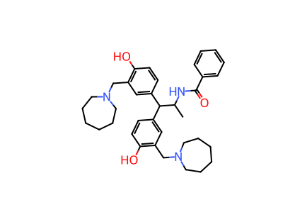 CC(NC(=O)c1ccccc1)C(c1ccc(O)c(CN2CCCCCC2)c1)c1ccc(O)c(CN2CCCCCC2)c1